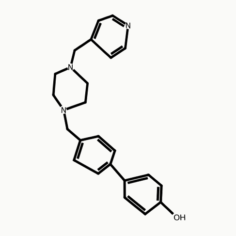 Oc1ccc(-c2ccc(CN3CCN(Cc4ccncc4)CC3)cc2)cc1